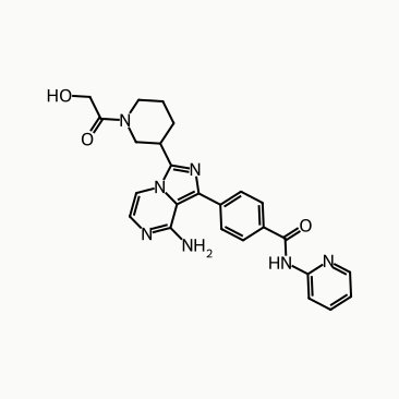 Nc1nccn2c(C3CCCN(C(=O)CO)C3)nc(-c3ccc(C(=O)Nc4ccccn4)cc3)c12